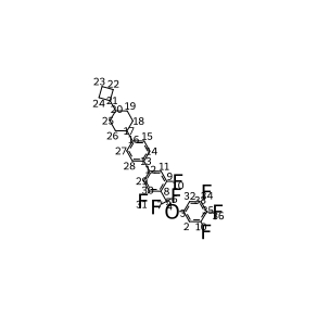 Fc1cc(OC(F)(F)c2c(F)cc(-c3ccc(C4CCC(C5CCC5)CC4)cc3)cc2F)cc(F)c1F